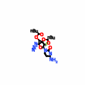 CCCCC(=O)OC1C2(N=[N+]=[N-])O[C@@H](n3ccc(N)nc3=O)[C@H](F)[C@@]12OC(=O)CCCC